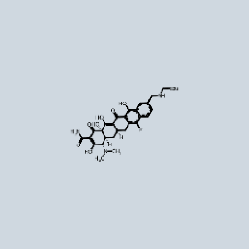 CN(C)[C@@H]1C(O)=C(C(N)=O)C(=O)[C@@]2(O)C(O)=C3C(=O)c4c(c(F)c5ccc(CNCC(C)(C)C)cc5c4O)C[C@H]3C[C@@H]12